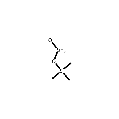 C[Si](C)(C)O[SiH2][O]